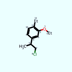 CCOc1cc(C(C)CCl)ccc1CC